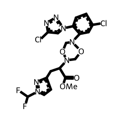 COC(=O)C(Cc1ccn(C(F)F)n1)N1CON(c2cc(Cl)ccc2-n2cc(Cl)nn2)CO1